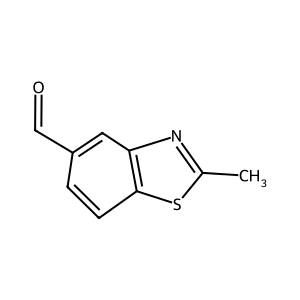 Cc1nc2cc(C=O)ccc2s1